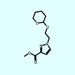 COC(=O)c1ccn(CCOC2CCCCO2)n1